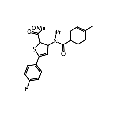 COC(=O)C1SC(c2ccc(F)cc2)=CC1N(C(=O)C1CC=C(C)CC1)C(C)C